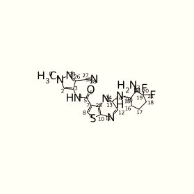 Cn1cc(NC(=O)c2csc3ncc(N[C@@H]4CCCC(F)(F)[C@@H]4N)nc23)c(C#N)n1